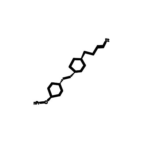 CC/C=C/CC[C@H]1CC[C@H](CC[C@H]2CC[C@H](OCCC)CC2)CC1